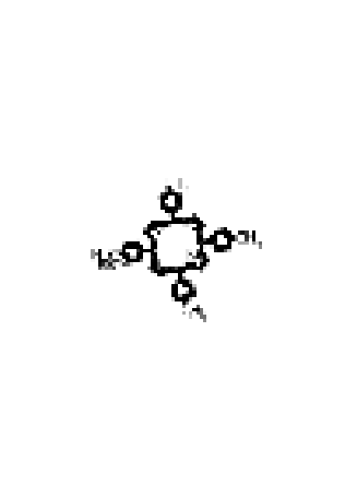 Cc1ccc(-c2c3nc(c(-c4ccc(C)cc4)c4ccc([nH]4)c(-c4ccc(C)cc4)c4nc(c(-c5ccc(C)cc5)c5ccc2[nH]5)C=C4)C=C3)cc1.[Cl-].[Cl-].[Zn+2]